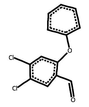 O=Cc1cc(Cl)c(Cl)cc1Oc1ccccc1